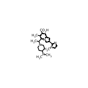 Cc1c(C(=O)O)cc2cc(-c3nccn3C)cn2c1C(C)N1CCC(N(C)C)CC1